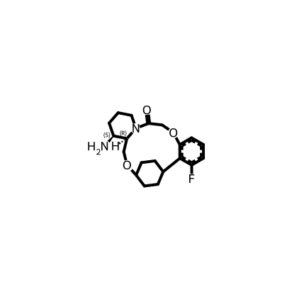 N[C@H]1CCCN2C(=O)COc3cccc(F)c3C3CCC(CC3)OC[C@@H]12